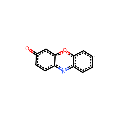 O=c1ccc2nc3cc[c]cc3oc-2c1